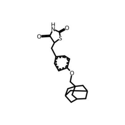 O=C1NC(=O)C(Cc2ccc(OCC34CC5CC(CC(C5)C3)C4)cc2)S1